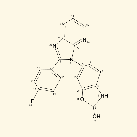 OC1Nc2ccc(-n3c(-c4ccc(F)cc4)nc4cccnc43)cc2O1